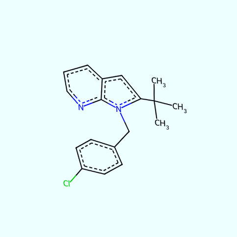 CC(C)(C)c1cc2cccnc2n1Cc1ccc(Cl)cc1